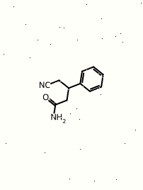 N#CCC(CC(N)=O)c1ccccc1